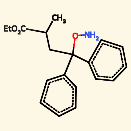 CCOC(=O)C(C)CC(ON)(c1ccccc1)c1ccccc1